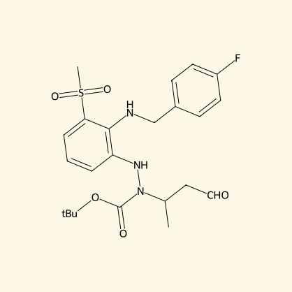 CC(CC=O)N(Nc1cccc(S(C)(=O)=O)c1NCc1ccc(F)cc1)C(=O)OC(C)(C)C